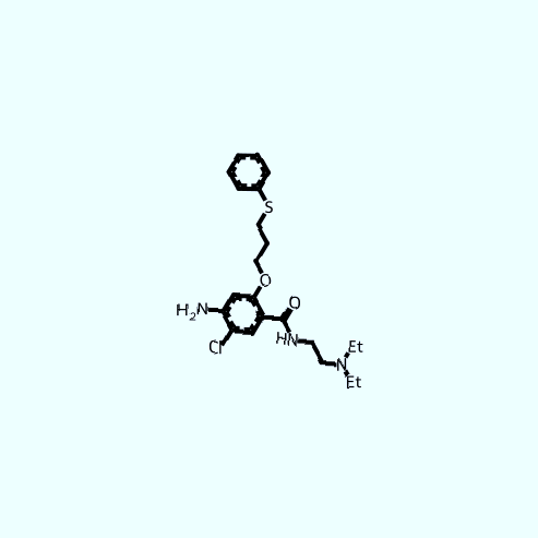 CCN(CC)CCNC(=O)c1cc(Cl)c(N)cc1OCCCSc1ccccc1